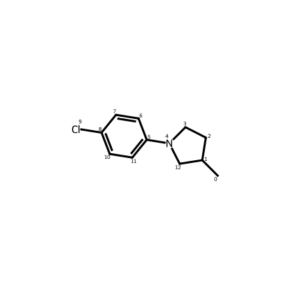 CC1CCN(c2ccc(Cl)cc2)C1